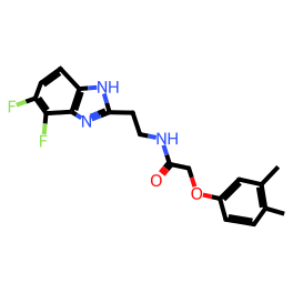 Cc1ccc(OCC(=O)NCCc2nc3c(F)c(F)ccc3[nH]2)cc1C